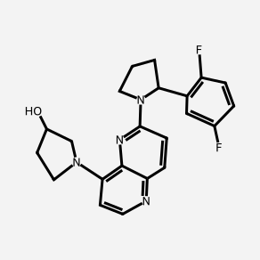 OC1CCN(c2ccnc3ccc(N4CCCC4c4cc(F)ccc4F)nc23)C1